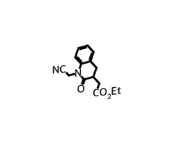 CCOC(=O)CC1Cc2ccccc2N(CC#N)C1=O